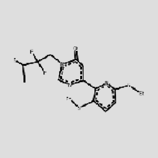 CCSc1ccc(SCC)c(-c2cc(=O)n(CC(F)(F)C(C)F)cn2)n1